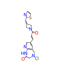 O=C1CN(Cl)Cc2cc(/C=C/C(=O)N3CC(=Cc4nccs4)C3)cnc2N1